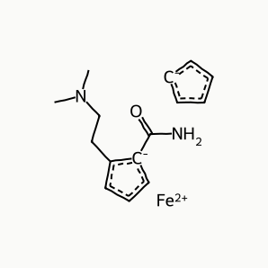 CN(C)CCc1ccc[c-]1C(N)=O.[Fe+2].c1cc[cH-]c1